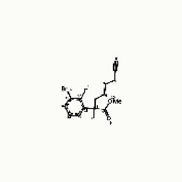 C#CCCCCC(C)(C(=O)OC)c1cccc(Br)c1F